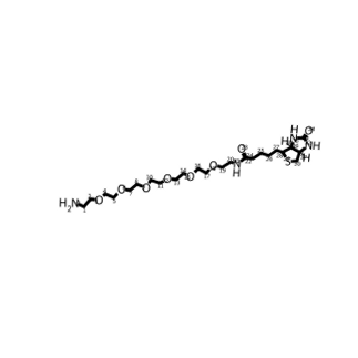 NCCOCCOCCOCCOCCOCCOCCNC(=O)CCCCC1SC[C@@H]2NC(=O)N[C@H]12